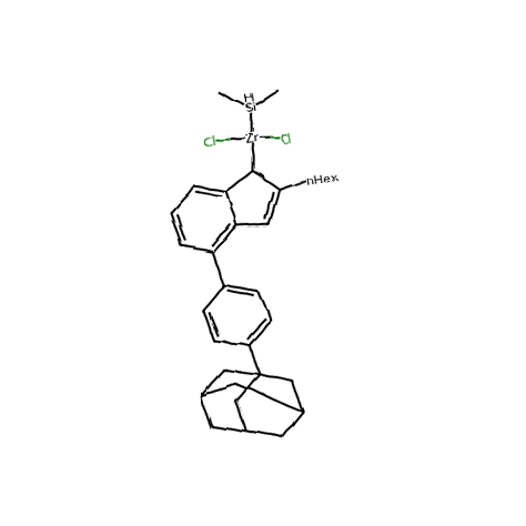 CCCCCCC1=Cc2c(-c3ccc(C45CC6CC(CC(C6)C4)C5)cc3)cccc2[CH]1[Zr]([Cl])([Cl])[SiH](C)C